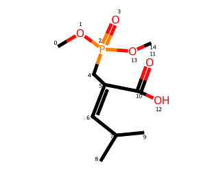 COP(=O)(CC(=CC(C)C)C(=O)O)OC